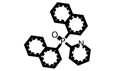 O=P(c1ccccn1)(c1cccc2ccccc12)c1cccc2ccccc12